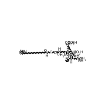 CN1CCC[C@H]1C(=O)N[C@@H](CCCNC(=N)N)C(=O)N[C@@H](CC(=O)O)C(=O)N[C@@H](CCCCN(CC(=O)O)CC(=O)O)C(=O)N[C@@H](CCCCNC(=O)COCCOCCNC(=O)CCCCCCCCCCCCCCCc1nnn[nH]1)C(N)=O